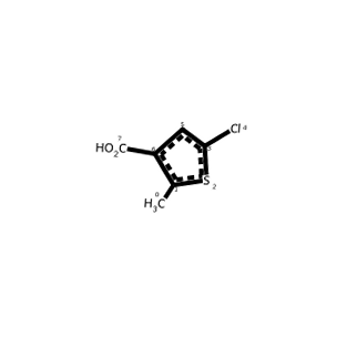 Cc1sc(Cl)cc1C(=O)O